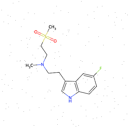 CN(CCc1c[nH]c2ccc(F)cc12)CCS(C)(=O)=O